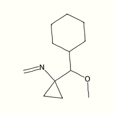 C=NC1(C(OC)C2CCCCC2)CC1